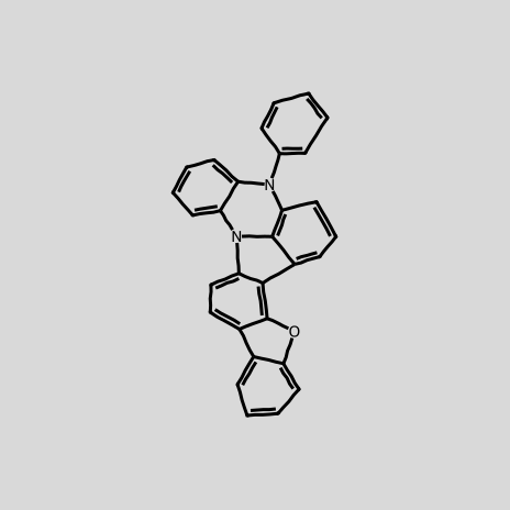 c1ccc(N2c3ccccc3-n3c4ccc5c6ccccc6oc5c4c4cccc2c43)cc1